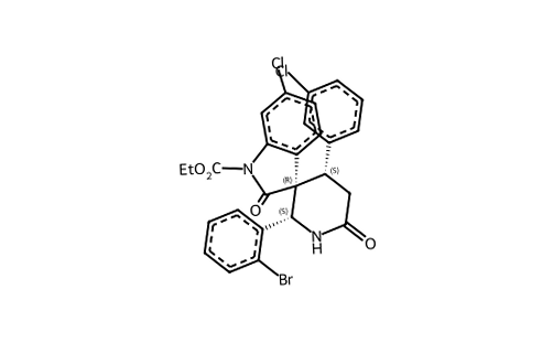 CCOC(=O)N1C(=O)[C@]2(c3ccc(Cl)cc31)[C@@H](c1ccccc1Br)NC(=O)C[C@H]2c1cccc(Cl)c1